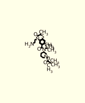 Cc1cc2c(cc1C(=O)N(C(C)C)[C@@H]1CCCN(OC(=O)C(C)(C)C)C1)N(CCN)C(=O)C(C)S2